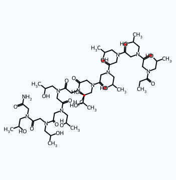 CCC(=O)N(CC(=O)N(CC(=O)N(CC(=O)N(CC(=O)N(CC(=O)N(CC(=O)N(CC(=O)N(CC(=O)N(CC(=O)N(CC(N)=O)CC(C)O)CC(C)O)CC(C)O)CC(C)O)CC(C)O)CC(C)O)CC(C)O)CC(C)O)CC(C)O)CC(C)O